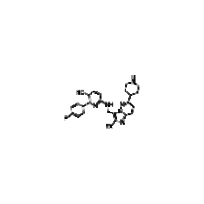 CCc1nc2ccc(C3CCNCC3)nn2c1CNc1ccc(C#N)c(-c2ccc(F)cc2)n1